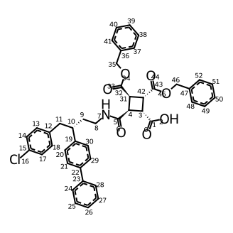 O=C(O)[C@@H]1[C@@H](C(=O)NCC[C@@H](Cc2ccc(Cl)cc2)c2ccc(-c3ccccc3)cc2)[C@@H](C(=O)OCc2ccccc2)[C@@H]1C(=O)OCc1ccccc1